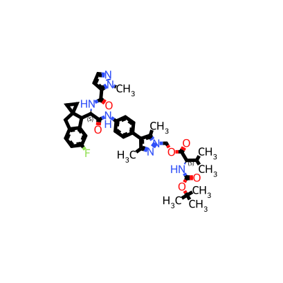 Cc1nn(COC(=O)[C@@H](NC(=O)OC(C)(C)C)C(C)C)c(C)c1-c1ccc(NC(=O)[C@@H](NC(=O)c2ccnn2C)C2c3cc(F)ccc3CC23CC3)cc1